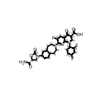 NC(=O)[C@H]1CN(c2ccc3c(c2)CCN(c2nc4c(cc2F)c(=O)c(C(=O)O)cn4-c2ccc(F)cc2F)CC3)C(=O)O1